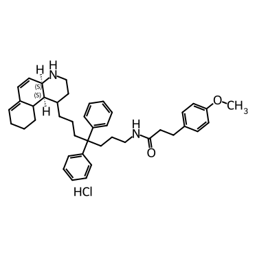 COc1ccc(CCC(=O)NCCCC(CCCC2CCN[C@@H]3C=CC4=CCCCC4[C@H]23)(c2ccccc2)c2ccccc2)cc1.Cl